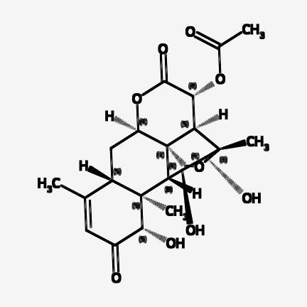 CC(=O)O[C@H]1C(=O)O[C@@H]2C[C@H]3C(C)=CC(=O)[C@@H](O)[C@]3(C)[C@H]3[C@@H](O)[C@@H](O)[C@@]4(C)OC[C@]32[C@@H]14